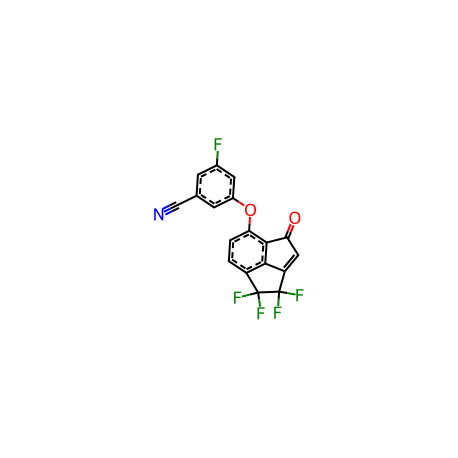 N#Cc1cc(F)cc(Oc2ccc3c4c2C(=O)C=C4C(F)(F)C3(F)F)c1